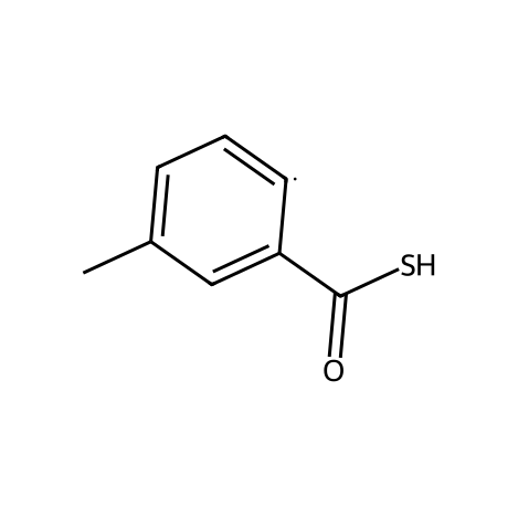 Cc1cc[c]c(C(=O)S)c1